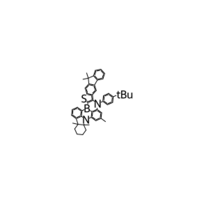 Cc1cc2c3c(c1)N1c4c(cccc4C4(C)CCCCC14C)B3c1sc3cc4c(cc3c1N2c1ccc(C(C)(C)C)cc1)-c1ccccc1C4(C)C